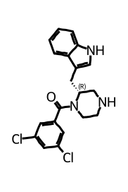 O=C(c1cc(Cl)cc(Cl)c1)N1CCNC[C@H]1Cc1c[nH]c2ccccc12